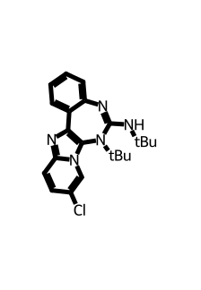 CC(C)(C)NC1=Nc2ccccc2-c2nc3ccc(Cl)cn3c2N1C(C)(C)C